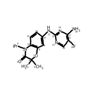 CC(C)N1C(=O)C(C)(C)Oc2cc(Nc3ncc(F)c(N)n3)ccc21